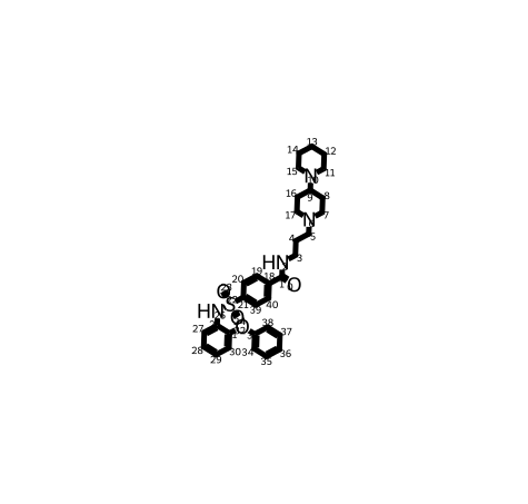 O=C(NCCCN1CCC(N2CCCCC2)CC1)c1ccc(S(=O)(=O)Nc2ccccc2Oc2ccccc2)cc1